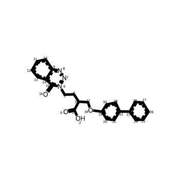 O=C(O)C(CCn1nnc2ccccc2c1=O)COc1ccc(-c2ccccc2)cc1